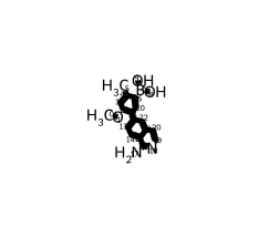 COc1cc(C)c(B(O)O)cc1-c1ccc2c(N)nccc2c1